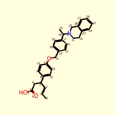 CC=CC(CC(=O)O)c1ccc(OCc2ccc(C(C)N3CCc4ccccc4C3)cc2)cc1